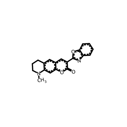 CN1CCCc2cc3cc(-c4nc5ccccc5o4)c(=O)oc3cc21